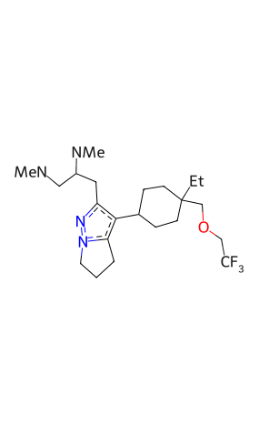 CCC1(COCC(F)(F)F)CCC(c2c(CC(CNC)NC)nn3c2CCC3)CC1